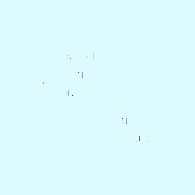 O=CCN1CCC2(CCC(Nc3nc(Cl)ncc3Cl)CC2)CC1